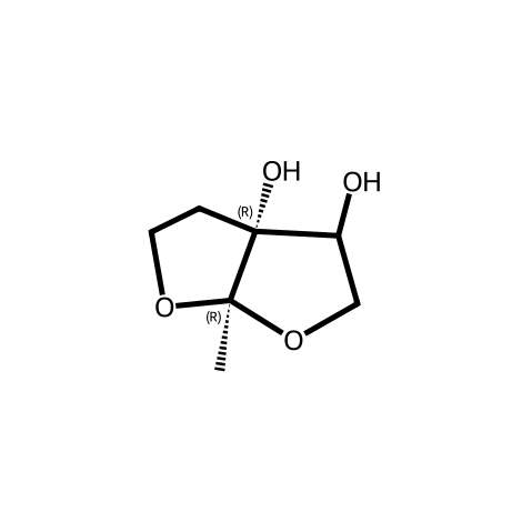 C[C@]12OCC[C@@]1(O)C(O)CO2